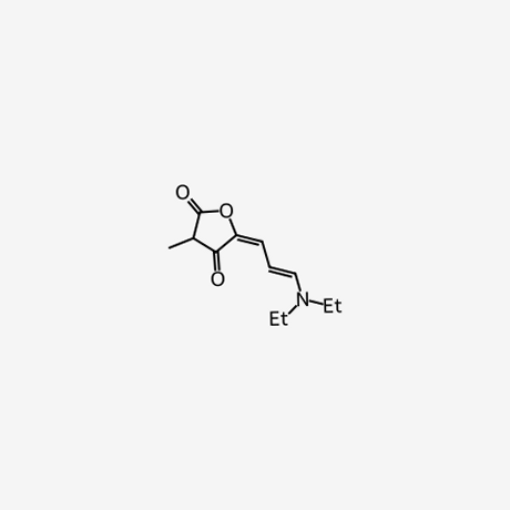 CCN(/C=C/C=C1/OC(=O)C(C)C1=O)CC